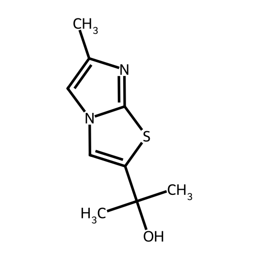 Cc1cn2cc(C(C)(C)O)sc2n1